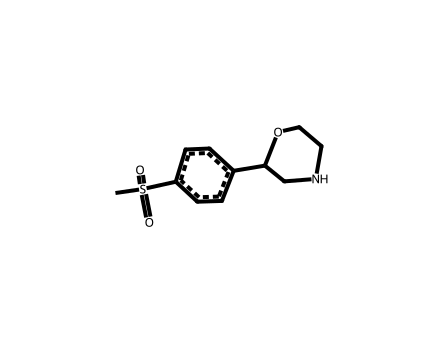 CS(=O)(=O)c1ccc(C2CNCCO2)cc1